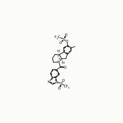 Cc1cc2c(cc1OS(=O)(=O)C(F)(F)F)[C@@H]1CCCN(C(=O)c3ccc4ncn(S(=O)(=O)C(F)(F)F)c4c3)[C@@H]1C2